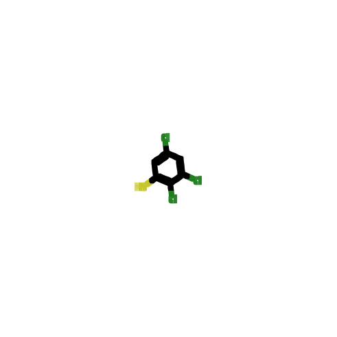 Sc1cc(Cl)cc(Cl)c1Cl